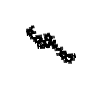 Cc1cnn(Cc2ccc(C(C(=O)O)N3CCC[C@@H]3C(F)(F)CCCCc3ccc4c(n3)NCCC4)cc2)c1